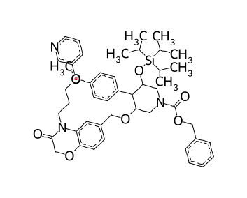 COCCCN1C(=O)COc2ccc(COC3CN(C(=O)OCc4ccccc4)CC(O[Si](C(C)C)(C(C)C)C(C)C)C3c3ccc(Oc4cccnc4)cc3)cc21